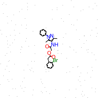 Cc1nn(-c2ccccc2)c(C)c1NC(=O)COC(=O)Cc1ccccc1Br